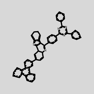 C1=CC2N=C(c3ccc(-c4nc(-c5ccccc5)nc(-c5ccccc5)n4)cc3)c3c(sc4c3=CCCC=4)C2C=C1c1ccc2c3ccccc3c3ccccc3c2c1